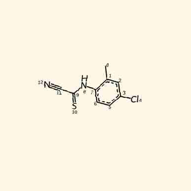 Cc1cc(Cl)ccc1NC(=S)C#N